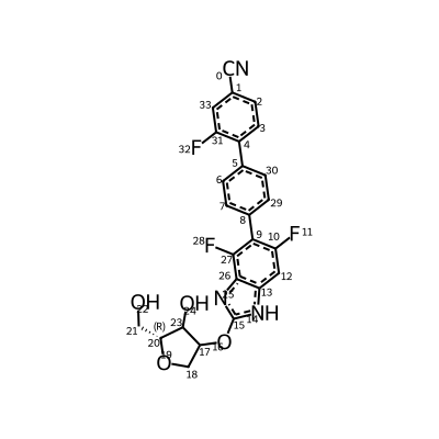 N#Cc1ccc(-c2ccc(-c3c(F)cc4[nH]c(OC5CO[C@H](CO)C5O)nc4c3F)cc2)c(F)c1